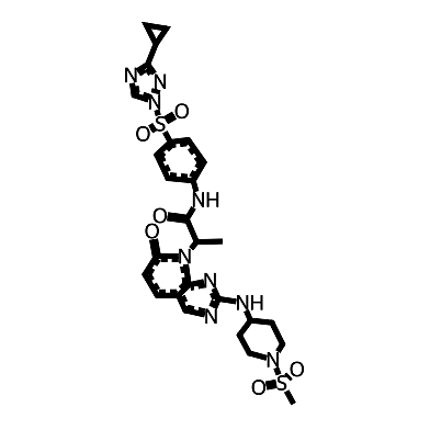 CC(C(=O)Nc1ccc(S(=O)(=O)n2cnc(C3CC3)n2)cc1)n1c(=O)ccc2cnc(NC3CCN(S(C)(=O)=O)CC3)nc21